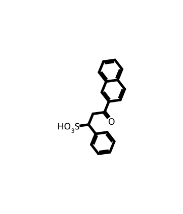 O=C(CC(c1ccccc1)S(=O)(=O)O)c1ccc2ccccc2c1